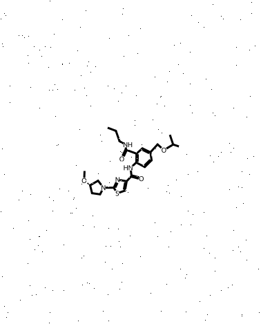 CCCNC(=O)c1cc(COC(C)C)ccc1NC(=O)c1csc(N2CC[C@H](OC)C2)n1